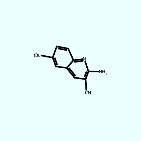 CC(C)(C)c1ccc2nc(N)c(C#N)cc2c1